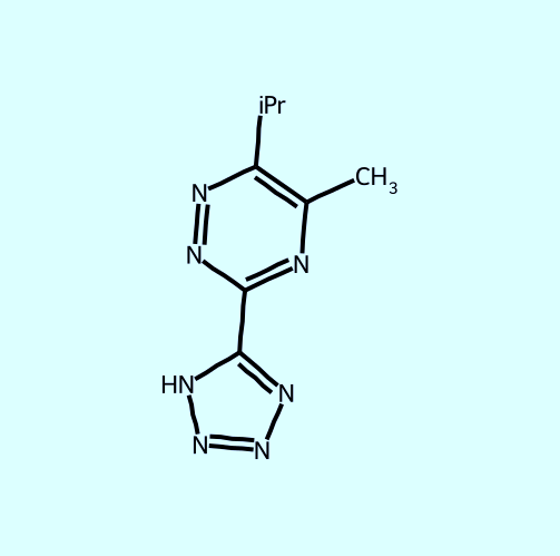 Cc1nc(-c2nnn[nH]2)nnc1C(C)C